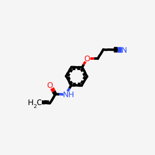 C=CC(=O)Nc1ccc(OCCC#N)cc1